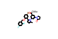 COC(=O)c1cc(N2CCCC2=O)cc(-n2c(C)ccc2-c2cc(Br)ccc2OCc2ccc(F)cc2F)c1